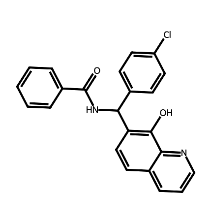 O=C(NC(c1ccc(Cl)cc1)c1ccc2cccnc2c1O)c1ccccc1